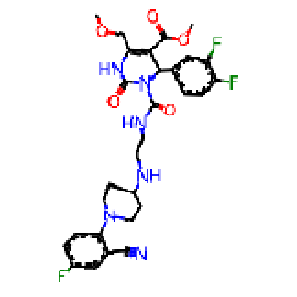 COCC1=C(C(=O)OC)C(c2ccc(F)c(F)c2)N(C(=O)NCCNC2CCN(c3ccc(F)cc3C#N)CC2)C(=O)N1